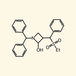 CCS(=O)(=O)C(c1ccccc1)C1CN(C(c2ccccc2)c2ccccc2)C1O